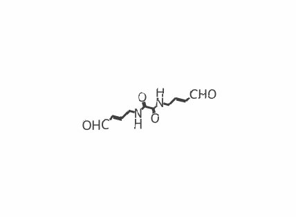 O=CC=CCNC(=O)C(=O)NCC=CC=O